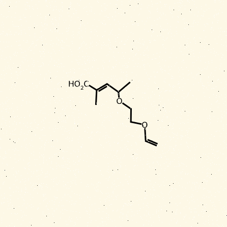 C=COCCOC(C)C=C(C)C(=O)O